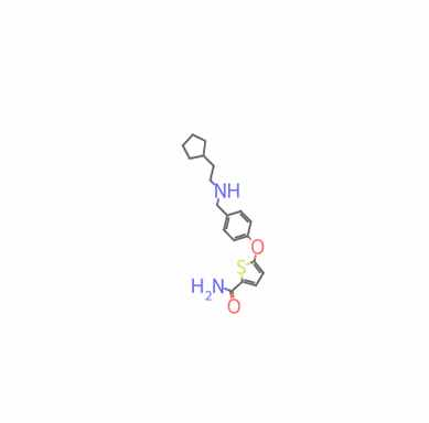 NC(=O)c1ccc(Oc2ccc(CNCCC3CCCC3)cc2)s1